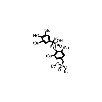 CCOP(=O)(Cc1cc(C(C)(C)C)c(OP(=O)(O)C(CC)(CC)c2cc(C(C)(C)C)c(O)c(C(C)(C)C)c2)c(C(C)(C)C)c1)OCC